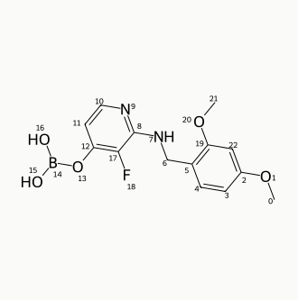 COc1ccc(CNc2nccc(OB(O)O)c2F)c(OC)c1